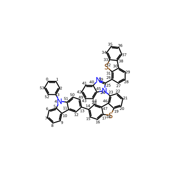 c1ccc(-n2c3ccccc3c3cc(-c4ccc5sc6cccc(-n7c(-c8cccc9c8sc8ccccc89)nc8ccccc87)c6c5c4)ccc32)cc1